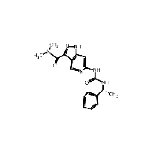 C[C@@H](NC(=O)Nc1cc2[nH]nc(C(=O)N(C)C)c2cn1)c1ccccc1